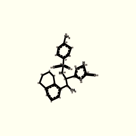 CC(c1cccc2c1CCCC2)C(NS(=O)(=O)c1ccc(N)cc1)c1n[nH]c(=O)o1